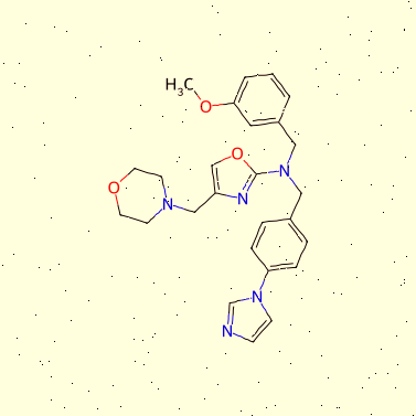 COc1cccc(CN(Cc2ccc(-n3ccnc3)cc2)c2nc(CN3CCOCC3)co2)c1